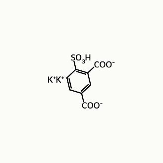 O=C([O-])c1ccc(S(=O)(=O)O)c(C(=O)[O-])c1.[K+].[K+]